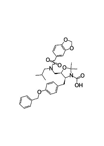 CC(C)CN(C[C@H]1OC(C)(C)N(C(=O)O)[C@H]1Cc1ccc(OCc2ccccc2)cc1)S(=O)(=O)c1ccc2c(c1)OCO2